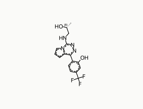 C[C@@H](O)CNc1nnc(-c2ccc(C(F)(F)F)cc2O)c2cccn12